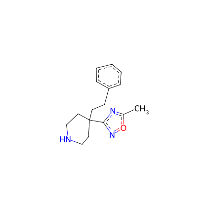 Cc1nc(C2(CCc3ccccc3)CCNCC2)no1